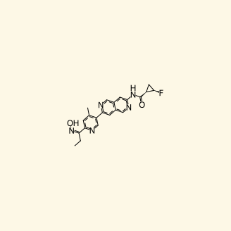 CC/C(=N/O)c1cc(C)c(-c2cc3cnc(NC(=O)[C@H]4C[C@H]4F)cc3cn2)cn1